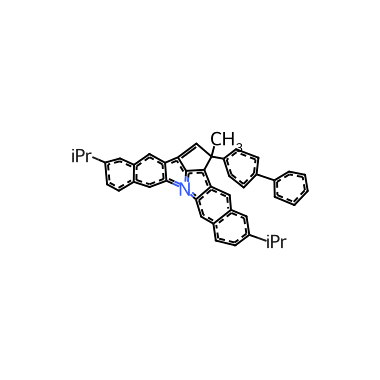 CC(C)c1ccc2cc3c(cc2c1)c1c2c(c4cc5cc(C(C)C)ccc5cc4n23)=CC1(C)c1ccc(-c2ccccc2)cc1